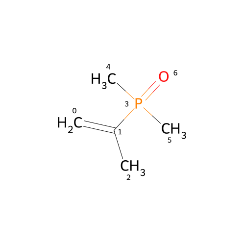 C=C(C)P(C)(C)=O